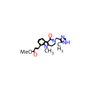 COC(=O)/C=C/c1cccc2c3c(n(C)c12)CCN(Cc1nc[nH]c1C)C3=O